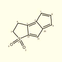 O=S1(=O)CCC2=C3C=CC=C3C=C21